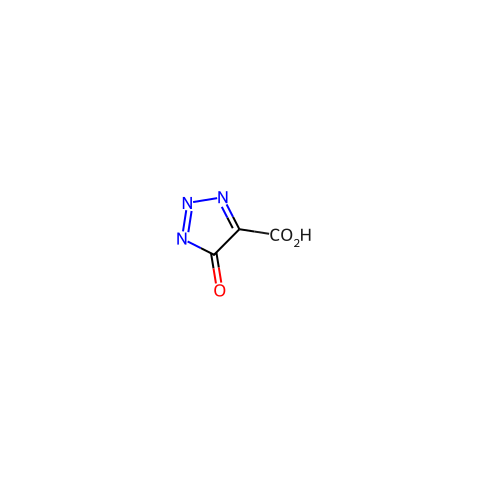 O=C(O)C1=NN=NC1=O